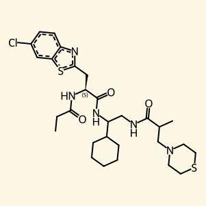 CCC(=O)N[C@@H](Cc1nc2ccc(Cl)cc2s1)C(=O)NC(CNC(=O)C(C)CN1CCSCC1)C1CCCCC1